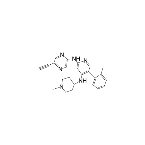 C#Cc1cnc(Nc2cc(NC3CCN(C)CC3)c(-c3ccccc3C)cn2)cn1